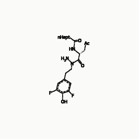 CCCCCCCC(=O)N[C@H](CC(C)=O)C(=O)N(N)CCc1cc(F)c(O)c(F)c1